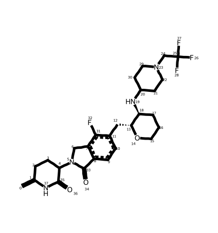 C=C1CCC(N2Cc3c(ccc(C[C@H]4OCCC[C@@H]4NC4CCN(CC(F)(F)F)CC4)c3F)C2=O)C(=O)N1